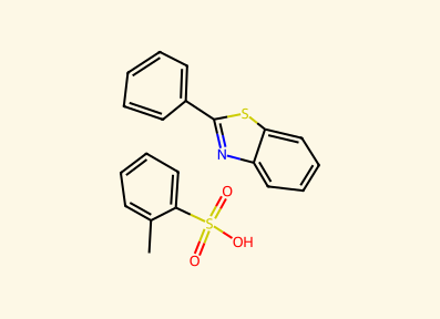 Cc1ccccc1S(=O)(=O)O.c1ccc(-c2nc3ccccc3s2)cc1